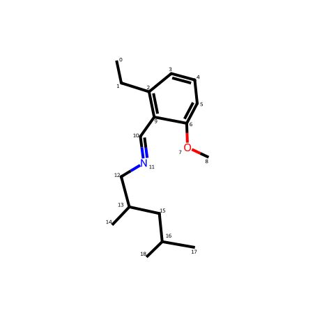 CCc1cccc(OC)c1C=NCC(C)CC(C)C